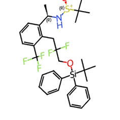 C[C@@H](N[S@@+]([O-])C(C)(C)C)c1cccc(C(F)(F)F)c1CC(F)(F)CO[Si](c1ccccc1)(c1ccccc1)C(C)(C)C